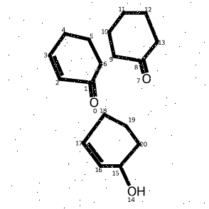 O=C1C=CCCC1.O=C1CCCCC1.OC1C=CCCC1